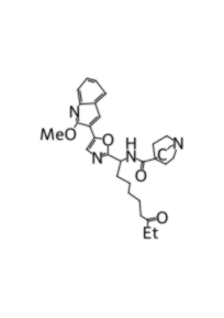 CCC(=O)CCCCCC(NC(=O)C12CCN(CC1)CC2)c1ncc(-c2cc3ccccc3nc2OC)o1